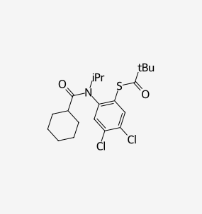 CC(C)N(C(=O)C1CCCCC1)c1cc(Cl)c(Cl)cc1SC(=O)C(C)(C)C